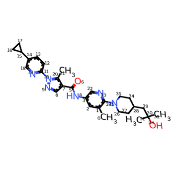 Cc1cc(NC(=O)c2cnn(-c3ccc(C4CC4)cn3)c2C)cnc1N1CCC(CC(C)(C)O)CC1